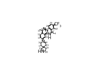 Cc1c([C@@H](C)Nc2nnc(C)c3ccc(N4CCC5(CCNC5)CC4)cc23)cccc1C(F)(F)F